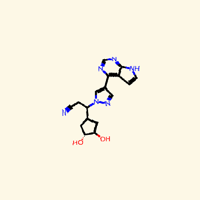 N#CCC(C1CC(O)[C@H](O)C1)n1cc(-c2ncnc3[nH]ccc23)cn1